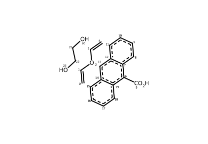 C=COC=C.O=C(O)c1c2ccccc2cc2ccccc12.OCCO